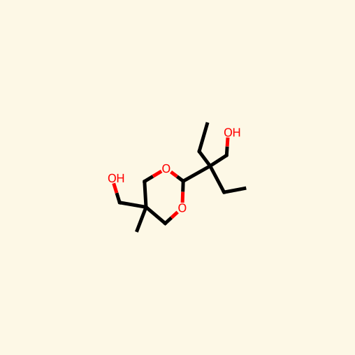 CCC(CC)(CO)C1OCC(C)(CO)CO1